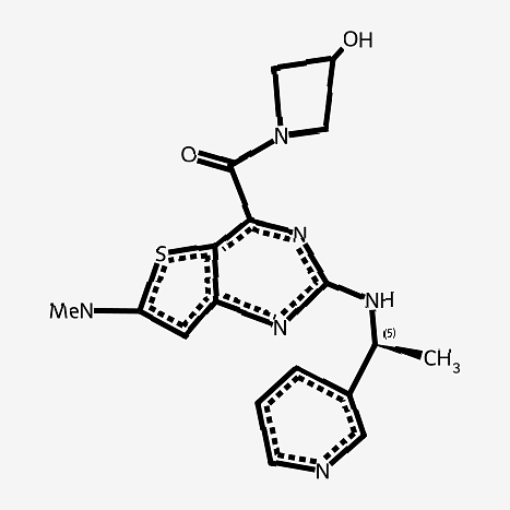 CNc1cc2nc(N[C@@H](C)c3cccnc3)nc(C(=O)N3CC(O)C3)c2s1